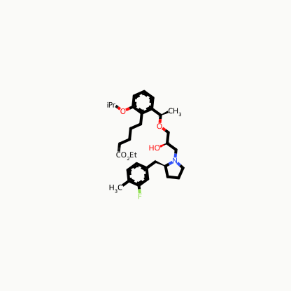 CCOC(=O)CCCCc1c(OC(C)C)cccc1[C@@H](C)OC[C@H](O)CN1CCC[C@H]1Cc1ccc(C)c(F)c1